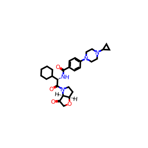 O=C(N[C@H](C(=O)N1CC[C@H]2OCC(=O)[C@H]21)C1CCCCC1)c1ccc(N2CCN(C3CC3)CC2)cc1